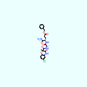 C[C@H](NC(=O)C1(C)Oc2ccc(Cl)cc2NC1=O)C(=O)N[C@H](CCC(=O)OCc1ccccc1)C(N)=O